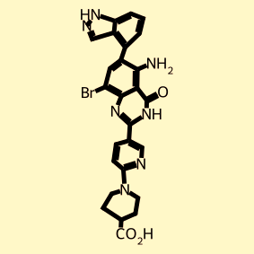 Nc1c(-c2cccc3[nH]ncc23)cc(Br)c2nc(-c3ccc(N4CCC(C(=O)O)CC4)nc3)[nH]c(=O)c12